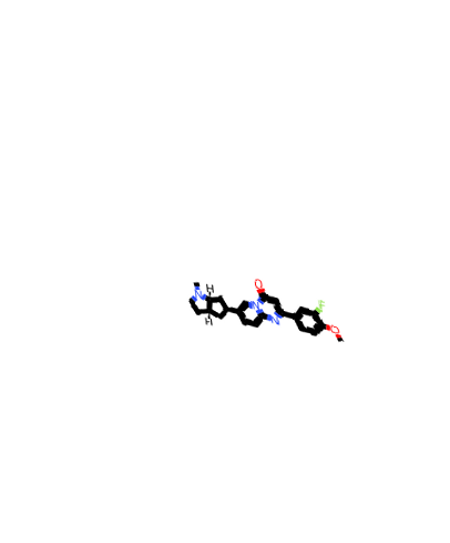 COc1ccc(-c2cc(=O)n3cc(C4C[C@H]5CCN(C)[C@H]5C4)ccc3n2)cc1F